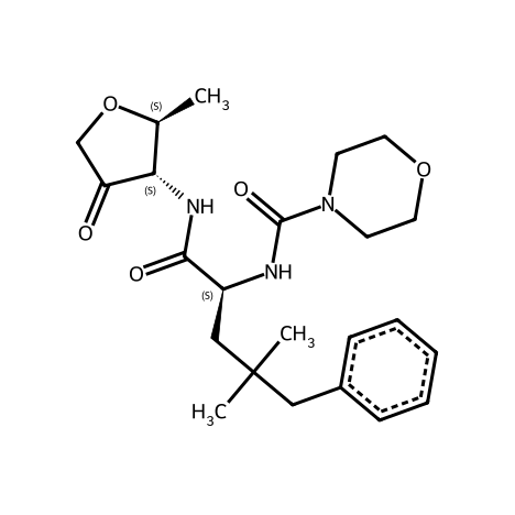 C[C@@H]1OCC(=O)[C@H]1NC(=O)[C@H](CC(C)(C)Cc1ccccc1)NC(=O)N1CCOCC1